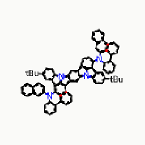 CC(C)(C)c1ccc2c(c1)c1c(N(c3ccc4ccccc4c3)c3ccccc3-c3ccccc3)ccc3c4cc5c(cc4n2c31)c1ccc(N(c2ccc3ccccc3c2)c2ccccc2-c2ccccc2)c2c3cc(C(C)(C)C)ccc3n5c12